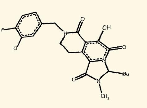 CCC(C)C1N(C)C(=O)c2c3c(c(O)c(=O)n21)C(=O)N(Cc1ccc(F)c(Cl)c1)CC3